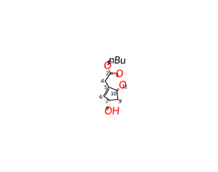 CCCCOC(=O)CC1=C[C@@H](O)CC1=O